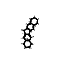 [CH]1CCCc2cc3c(cc21)Cc1cc2c(cc1-3)CCCC2